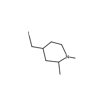 CC1CC(CI)CCN1C